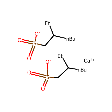 CCCCC(CC)CS(=O)(=O)[O-].CCCCC(CC)CS(=O)(=O)[O-].[Ca+2]